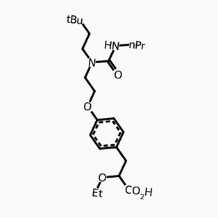 CCCNC(=O)N(CCOc1ccc(CC(OCC)C(=O)O)cc1)CCC(C)(C)C